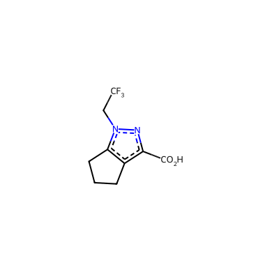 O=C(O)c1nn(CC(F)(F)F)c2c1CCC2